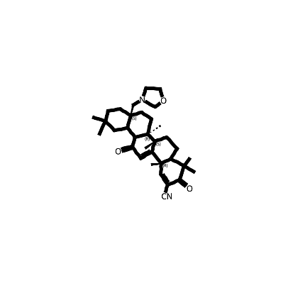 CC1(C)CC[C@]2(CN3CCOC3)CC[C@]3(C)C(C(=O)C=C4[C@@]5(C)C=C(C#N)C(=O)C(C)(C)C5CC[C@]43C)C2C1